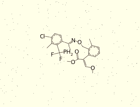 CO/C=C(/C(=O)OC)c1cccc(C)c1CO/N=C(\C)c1ccc(Cl)c(C)c1C(F)(F)P